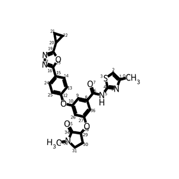 Cc1csc(NC(=O)c2cc(Oc3ccc(-c4nnc(C5CC5)o4)cc3)cc(OC3CCN(C)C3=O)c2)n1